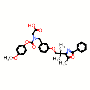 COc1ccc(OC(=O)N(CC(=O)O)Cc2cccc(OCC(C)(C)c3nc(-c4ccccc4)oc3C)c2)cc1